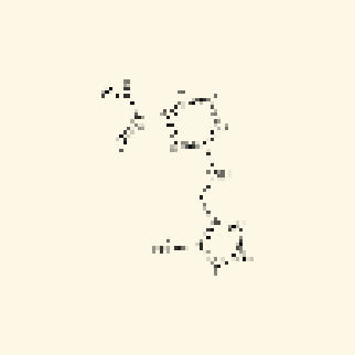 CCCn1cnnc1CNc1cccc(C(=O)OC)c1